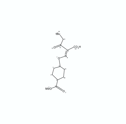 COC(=O)C1CCC(ON=C(C(=O)O)C(=O)CC(C)(C)C)CC1